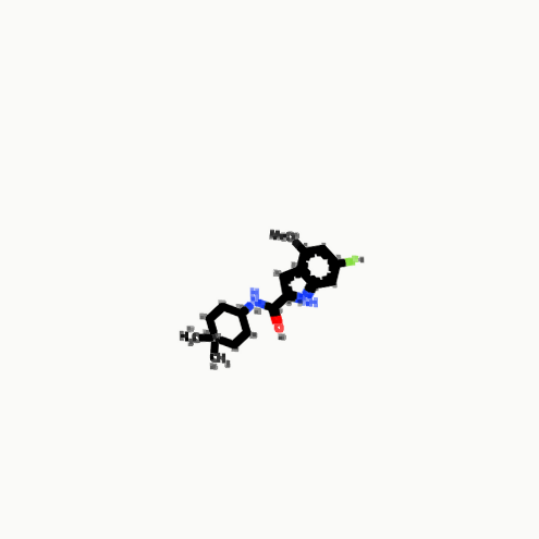 COc1cc(F)cc2[nH]c(C(=O)NC3CC[Si](C)(C)CC3)cc12